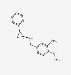 COc1ccc(CN[C@H]2CC2c2ccccc2)cc1C